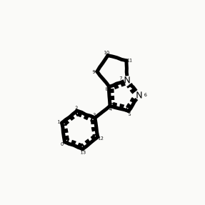 c1ccc(-c2cnn3c2CCC3)cc1